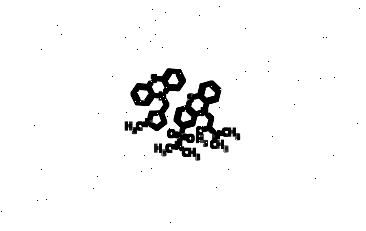 CC(CN1c2ccccc2Sc2ccc(S(=O)(=O)N(C)C)cc21)N(C)C.CN1CCC(CN2c3ccccc3Sc3ccccc32)C1